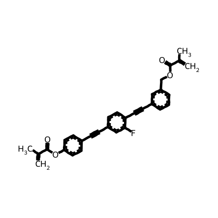 C=C(C)C(=O)OCc1cccc(C#Cc2ccc(C#Cc3ccc(OC(=O)C(=C)C)cc3)cc2F)c1